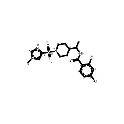 CC(NC(=O)c1ccc(Cl)cc1Cl)C1CCN(S(=O)(=O)c2cn(C)cn2)CC1